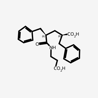 O=C(O)CCNC(=O)[C@@H](Cc1ccccc1)C[C@H](Cc1ccccc1)C(=O)O